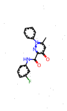 Cc1cc(=O)c(C(=O)Nc2cccc(F)c2)nn1-c1ccccc1